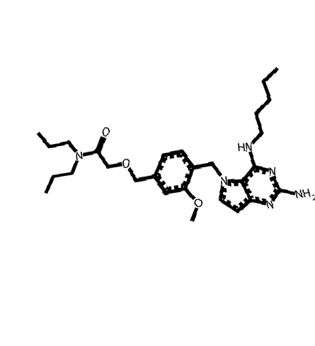 CCCCCNc1nc(N)nc2ccn(Cc3ccc(COCC(=O)N(CCC)CCC)cc3OC)c12